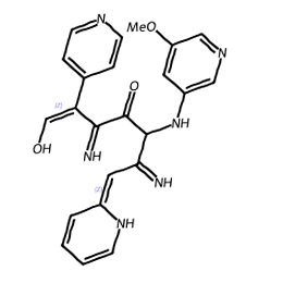 COc1cncc(NC(C(=N)/C=C2/C=CC=CN2)C(=O)C(=N)/C(=C\O)c2ccncc2)c1